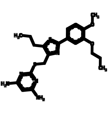 CCCOc1cc(-c2nc(CSc3nc(N)cc(N)n3)c(CCC)s2)ccc1OC